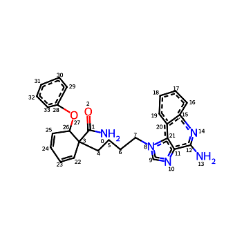 NC(=O)C1(CCCCn2cnc3c(N)nc4ccccc4c32)C=CC=CC1Oc1ccccc1